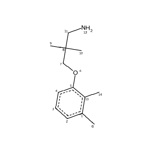 Cc1cccc(OCC(C)(C)CN)c1C